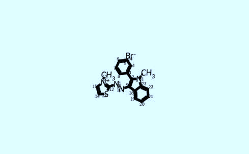 Cn1c(-c2ccccc2)c(N=Nc2scc[n+]2C)c2ccccc21.[Br-]